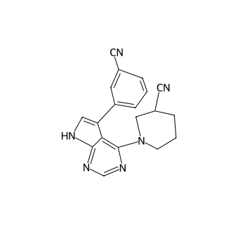 N#Cc1cccc(-c2c[nH]c3ncnc(N4CCCC(C#N)C4)c23)c1